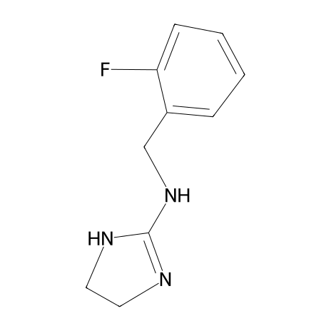 Fc1ccccc1CNC1=NCCN1